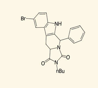 CCCCN1C(=O)C2Cc3c([nH]c4ccc(Br)cc34)C(c3ccccc3)N2C1=O